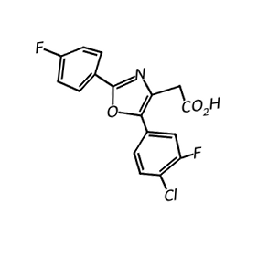 O=C(O)Cc1nc(-c2ccc(F)cc2)oc1-c1ccc(Cl)c(F)c1